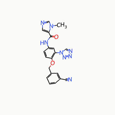 Cn1cncc1C(=O)Nc1ccc(OCc2cccc(C#N)c2)c(-n2cnnn2)c1